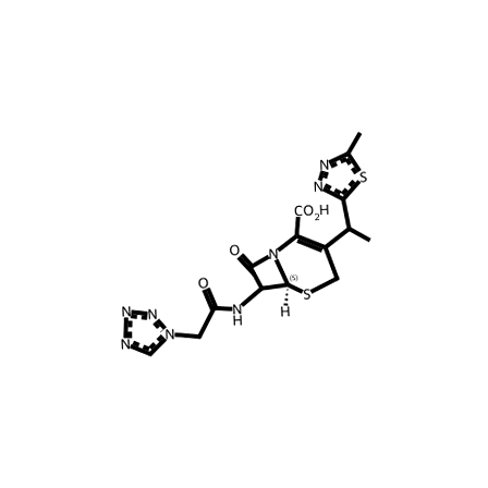 Cc1nnc(C(C)C2=C(C(=O)O)N3C(=O)C(NC(=O)Cn4cnnn4)[C@@H]3SC2)s1